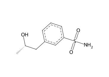 C[C@H](O)Cc1cccc(S(N)(=O)=O)c1